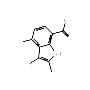 Cc1[nH]c2c(C(N)=O)ccc(F)c2c1C